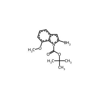 Bc1cc2cccc(OC)c2n1C(=O)OC(C)(C)C